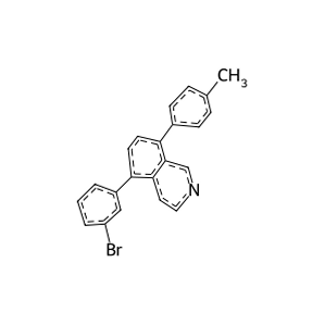 Cc1ccc(-c2ccc(-c3cccc(Br)c3)c3ccncc23)cc1